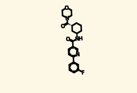 O=C(N[C@@H]1CCC[C@@H](C(=O)N2CCOCC2)C1)c1ccc(-c2cccc(F)c2)nc1